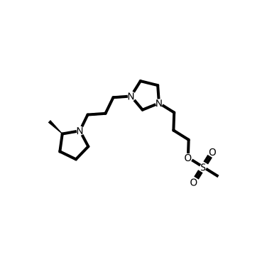 C[C@@H]1CCCN1CCCN1CCN(CCCOS(C)(=O)=O)C1